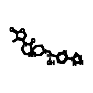 CC1=C(N2CCNC3(CCN(C[C@@H](O)c4ccc(-n5cnnn5)nc4)CC3)C2=O)COC1=O